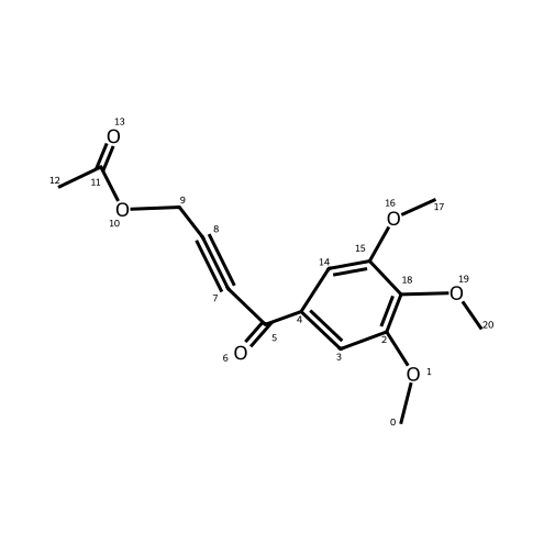 COc1cc(C(=O)C#CCOC(C)=O)cc(OC)c1OC